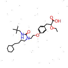 CCOC(Cc1ccc(OCCN(CCCCC2CCCCC2)C(=O)NCC(C)(C)C)cc1)C(=O)O